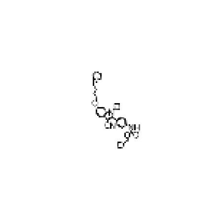 N#Cc1c(-c2ccc(NC(=O)OCC3CCC3)cc2)n(C2CCC2)c2cc(OCCCCN3CCCC3)ccc12